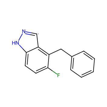 Fc1ccc2[nH]n[c]c2c1Cc1ccccc1